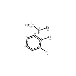 CCNC(=O)OCC.Clc1ccccc1Cl